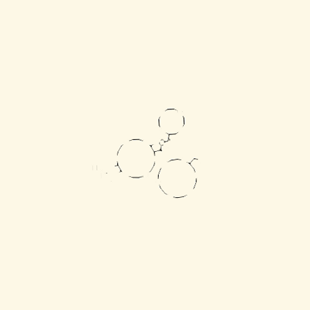 O=C(O)C1OCCOCCOC(C(=O)O)C(C(=O)OCC2COCCOCCOCCO2)OCCOCCOC1C(=O)O.OCC1COCCOCCOCCOCCOCCO1